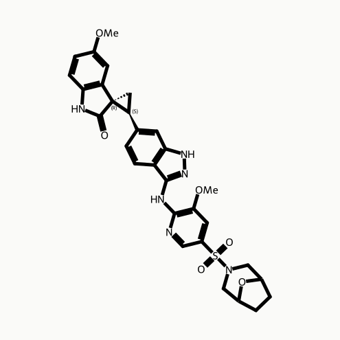 COc1ccc2c(c1)[C@]1(C[C@H]1c1ccc3c(Nc4ncc(S(=O)(=O)N5CC6CCC(C5)O6)cc4OC)n[nH]c3c1)C(=O)N2